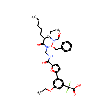 CCCCCC(C(=O)NCNC(=O)c1ccc(-c2cc(OCC)cc(C(F)(F)C(=O)O)c2)o1)[C@@H](CC)N(C=O)OCc1ccccc1